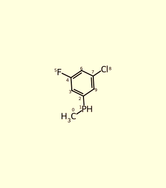 CPc1cc(F)cc(Cl)c1